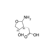 NC1OC[C@@H](O)[C@H]1CC(=O)O